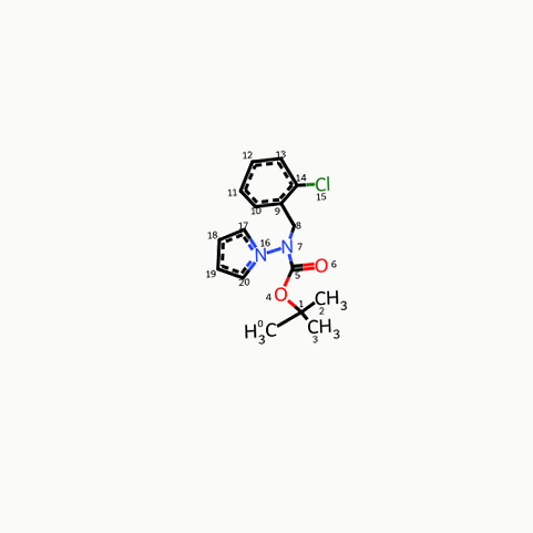 CC(C)(C)OC(=O)N(Cc1ccccc1Cl)n1cccc1